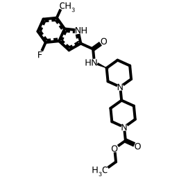 CCOC(=O)N1CCC(N2CCC[C@H](NC(=O)c3cc4c(F)ccc(C)c4[nH]3)C2)CC1